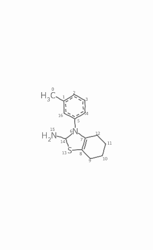 Cc1cc[c]c(N2C3=C(CCCC3)SC2N)c1